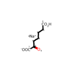 O=C(O)CCCCC(=O)C(=O)[O-].[Na+]